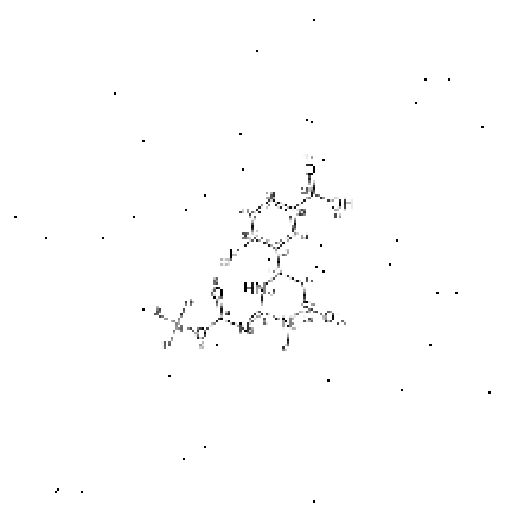 CN1C(=NC(=O)OC(C)(C)C)NC(c2cc(C(=O)O)ccc2F)C[S+]1[O-]